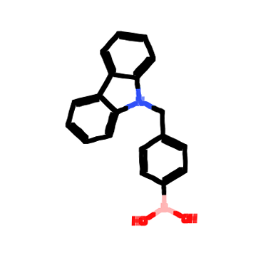 OB(O)c1ccc(Cn2c3ccccc3c3ccccc32)cc1